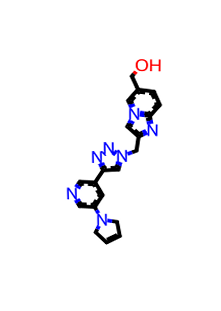 OCc1ccc2nc(Cn3cc(-c4cncc(N5CC=CC5)c4)nn3)cn2c1